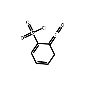 O=C=C1CC=CC=C1S(=O)(=O)Cl